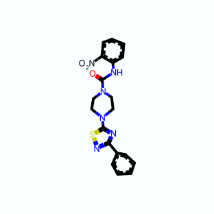 O=C(Nc1ccccc1[N+](=O)[O-])N1CCN(c2nc(-c3ccccc3)ns2)CC1